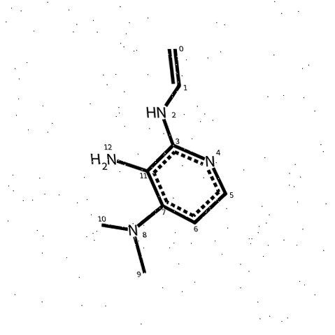 C=CNc1nccc(N(C)C)c1N